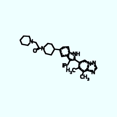 Cc1c(-c2[nH]c3ccc(C4CCN(C(=O)CN5CCCCC5)CC4)cc3c2C(C)C)cn2ncnc2c1C